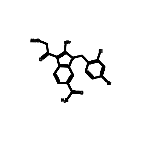 CCCc1c(C(=O)COC)c2ccc(C(N)=O)cc2n1Cc1ccc(Br)cc1Cl